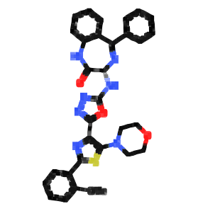 COc1ccccc1-c1nc(-c2nnc(N[C@H]3N=C(c4ccccc4)c4ccccc4NC3=O)o2)c(N2CCOCC2)s1